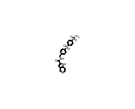 CS(=O)(=O)c1ccc(S(=O)(=O)c2ccc(CNC(=O)c3cc4cnccc4[nH]3)cc2)cc1